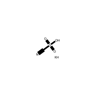 N#CS(=O)(=O)O.[KH]